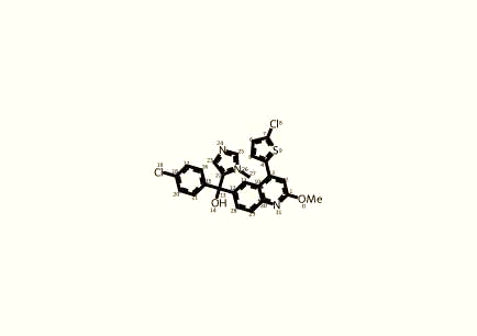 COc1cc(-c2ccc(Cl)s2)c2cc(C(O)(c3ccc(Cl)cc3)c3cncn3C)ccc2n1